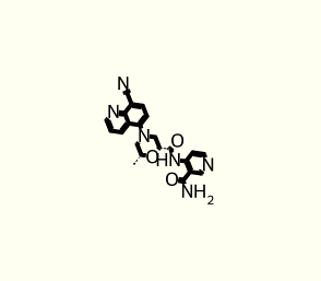 C[C@@H]1CN(c2ccc(C#N)c3ncccc23)C[C@H](C(=O)Nc2ccncc2C(N)=O)O1